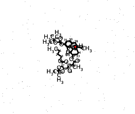 CCCCOC(=O)[C@@H]1OC(C)(C)O[C@H]1C(=O)O[C@@H](C)C(=O)OC1=CC[C@@]2(O)[C@H]3Cc4ccc(OC(=O)OC(C)(C)C)c5c4[C@@]2(CCN3C)[C@H]1O5